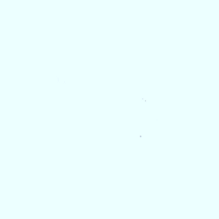 CCCCc1cccc[n+]1S(=O)(=O)O